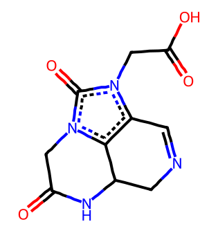 O=C(O)Cn1c2c3n(c1=O)CC(=O)NC3CN=C2